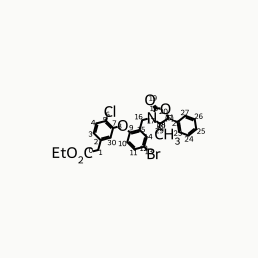 CCOC(=O)Cc1ccc(Cl)c(Oc2ccc(Br)cc2CN2C(=O)O[C@@H](c3ccccc3)[C@H]2C)c1